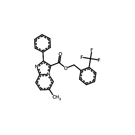 Cc1ccc2nc(-c3ccccc3)c(C(=O)OCc3ccccc3C(F)(F)F)n2c1